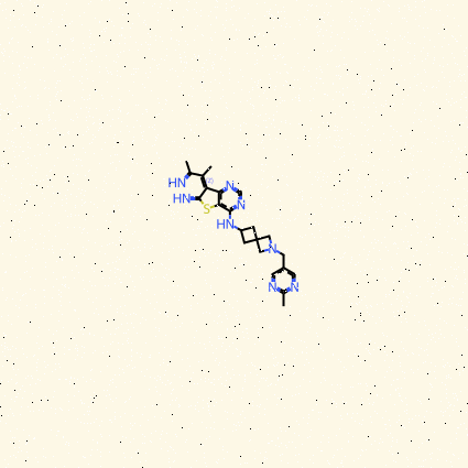 CC(=N)/C(C)=C1\C(=N)Sc2c(NC3CC4(C3)CN(Cc3cnc(C)nc3)C4)ncnc21